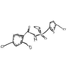 O=C(NS(=O)(=O)c1ccc(Cl)s1)c1ccc(Cl)cc1Cl